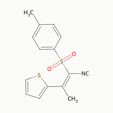 [C-]#[N+]C(=C(C)c1cccs1)S(=O)(=O)c1ccc(C)cc1